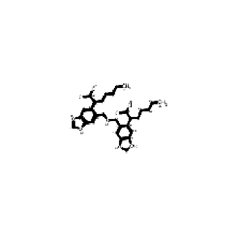 CCCCCC(c1cc2c(cc1COCc1cc3c(cc1C(CCCCC)C(Cl)Cl)OCO3)OCO2)C(Cl)Cl